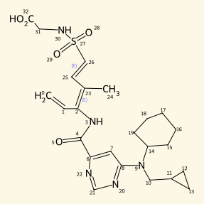 C=C/C(NC(=O)c1cc(N(CC2CC2)C2CCCCC2)ncn1)=C(C)\C=C\S(=O)(=O)NCC(=O)O